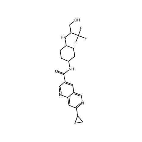 O=C(NC1CCC(NC(CO)C(F)(F)F)CC1)c1cnc2cc(C3CC3)ncc2c1